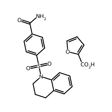 NC(=O)c1ccc(S(=O)(=O)N2CCCc3ccccc32)cc1.O=C(O)c1ccco1